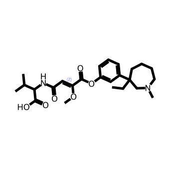 CCC1(c2cccc(OC(=O)/C(=C/C(=O)NC(C(=O)O)C(C)C)OC)c2)CCCCN(C)C1